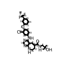 CC(C)(O)CNC(=O)C1=Cc2c(ncnc2Nc2ccc(Oc3cccc(C(F)(F)F)c3)c(Cl)c2)NCC1